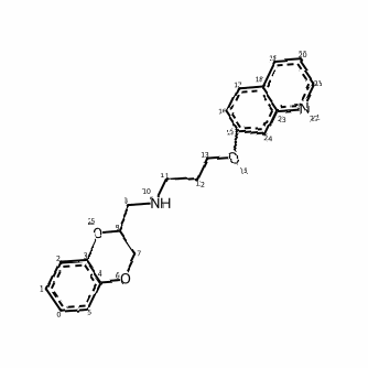 c1ccc2c(c1)OCC(CNCCCOc1ccc3cccnc3c1)O2